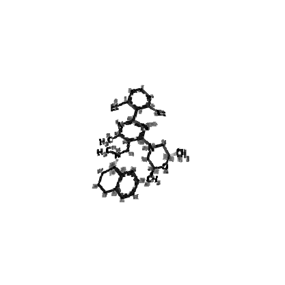 CCc1cccc(CC)c1-c1nc(C)c(CN(C)[C@H]2CCCc3ccccc32)c(N2C[C@H](C)O[C@@H](C)C2)n1